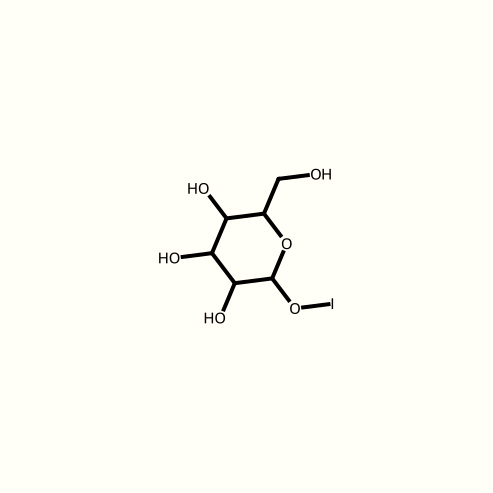 OCC1OC(OI)C(O)C(O)C1O